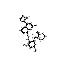 Cc1cc(-c2ncnn2C)c2cccc(OCc3c(Cl)cc(F)cc3[C@H](C)N3CCCCC3=O)c2n1